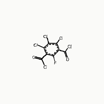 O=C(Cl)c1c(F)c(C(=O)Cl)c(Cl)c(Cl)c1Cl